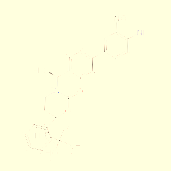 C[C@@H](c1ccc(-c2ccc(N)c(N=O)c2)cc1)N1CC[C@](CC(C)(C)O)(c2ccccc2)OC1=O